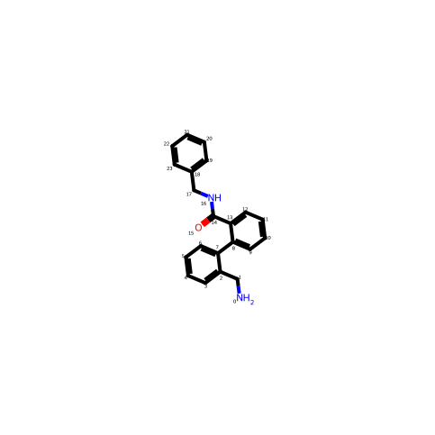 NCc1ccccc1-c1ccccc1C(=O)NCc1ccccc1